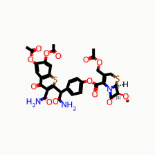 CO[C@H]1C(=O)N2C(C(=O)Oc3ccc(C(C(N)=O)c4sc5cc(OC(C)=O)c(OC(C)=O)cc5c(=O)c4C(N)=O)cc3)=C(COC(C)=O)CS[C@@H]12